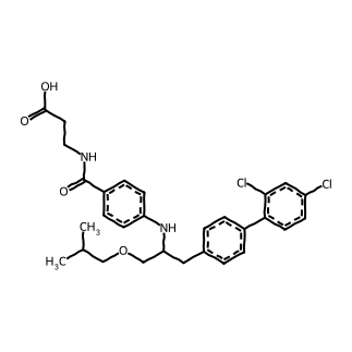 CC(C)COCC(Cc1ccc(-c2ccc(Cl)cc2Cl)cc1)Nc1ccc(C(=O)NCCC(=O)O)cc1